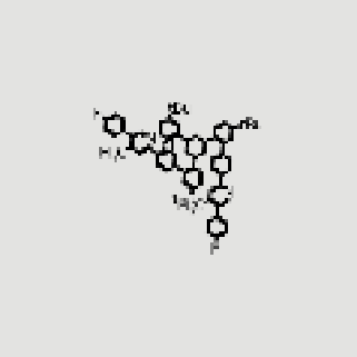 Cc1cc(-c2ccc(-c3cc(C(C)(C)C)ccc3C3CC(c4cc(C(C)(C)C)ccc4Cl)CC(c4ccc(C(C)(C)C)cc4-c4ccc(-c5cc(C)c(-c6ccc(F)cc6)cn5)cc4)C3)cc2)ncc1-c1ccc(F)cc1